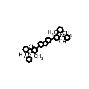 Cc1cc(-c2ccc3c(c2)Cc2cc(-c4cc(C)c5c(c4)C4(C)CCCCC4(C)N5c4ccccc4)ccc2-3)cc2c1N(c1ccccc1)C1(C)CCCCC21C